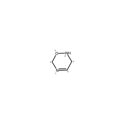 C1=NCONC1